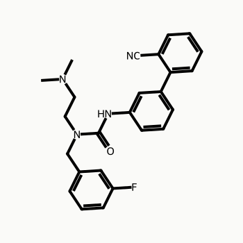 CN(C)CCN(Cc1cccc(F)c1)C(=O)Nc1cccc(-c2ccccc2C#N)c1